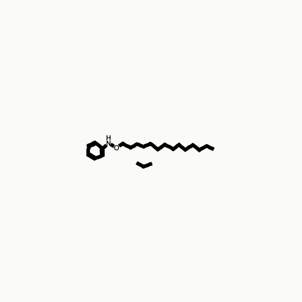 CCC.CCCCCCCCCCCCCCONc1ccccc1